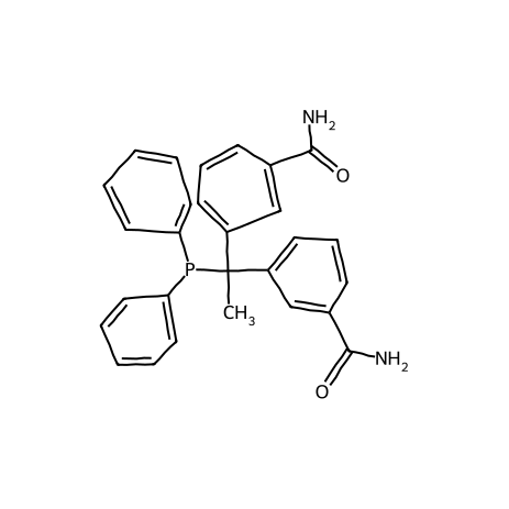 CC(c1cccc(C(N)=O)c1)(c1cccc(C(N)=O)c1)P(c1ccccc1)c1ccccc1